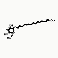 CCCCCCCC/C=C/CCCCCCCCCCCCOC1O[C@H](CO)[C@@H](O)[C@H](O)[C@H]1O